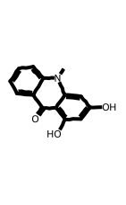 Cn1c2ccccc2c(=O)c2c(O)cc(O)cc21